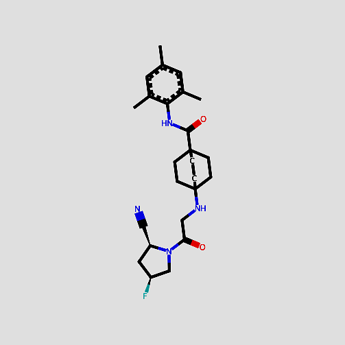 Cc1cc(C)c(NC(=O)C23CCC(NCC(=O)N4C[C@@H](F)C[C@H]4C#N)(CC2)CC3)c(C)c1